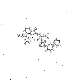 CC(C)(CO)c1cccc(C(=O)NCC(Nc2nc(-c3cccc(-c4ccncc4)c3)cs2)=C2CC2)c1